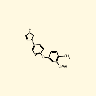 COc1cc(Oc2ccc(N3C=CNC3)cn2)ccc1C